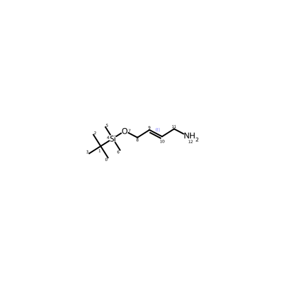 CC(C)(C)[Si](C)(C)OC/C=C/CN